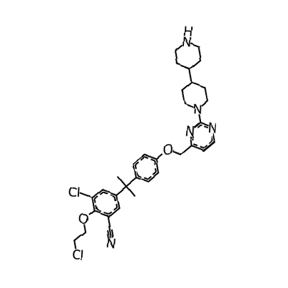 CC(C)(c1ccc(OCc2ccnc(N3CCC(C4CCNCC4)CC3)n2)cc1)c1cc(Cl)c(OCCCl)c(C#N)c1